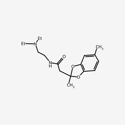 CCN(CC)CCNC(=O)CC1(C)Oc2ccc(C)cc2O1